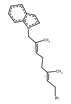 C/C(=C\CC(C)C)CC/C=C(\C)Cn1ccc2ccccc21